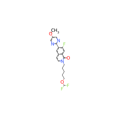 COc1cnc(-c2cc3ccn(CCCCCOC(F)F)c(=O)c3cc2F)nc1